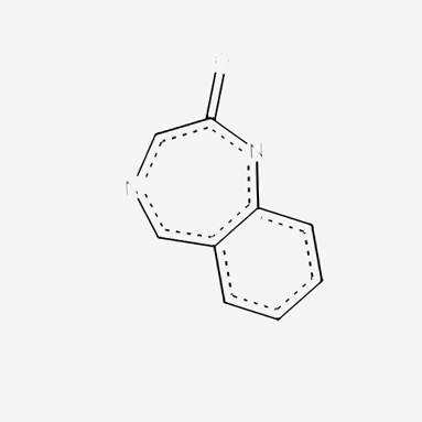 O=c1cncc2ccccc2n1